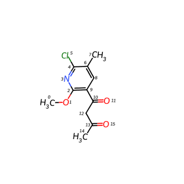 COc1nc(Cl)c(C)cc1C(=O)CC(C)=O